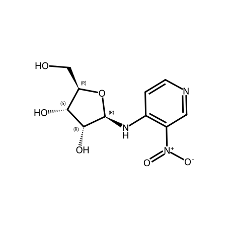 O=[N+]([O-])c1cnccc1N[C@@H]1O[C@H](CO)[C@@H](O)[C@H]1O